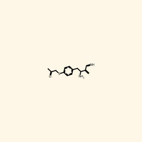 C=C(C=N)C(N)Cc1ccc(SCC(C)=O)cc1